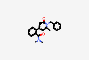 Cc1cc(-c2ccccc2C(=O)N(C)C)cc(=O)n1Cc1ccccc1